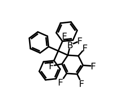 FB(F)C1(C(c2ccccc2)(c2ccccc2)c2ccccc2)C(F)=C(F)C(F)=C(F)C1F